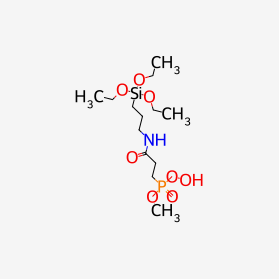 CCO[Si](CCCNC(=O)CCP(=O)(OC)OO)(OCC)OCC